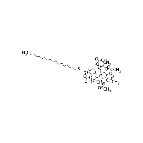 CCCCCCCCCCCCCCCCCCSCCO[C@H]1O[C@H](COC(C)=O)[C@H](O[C@@H]2O[C@H](COC(C)=O)[C@H](OC(C)=O)[C@H](OC(C)=O)[C@H]2OC(C)=O)[C@H](OC(C)=O)[C@H]1OC(C)=O